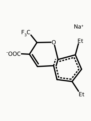 CCc1cc2c(c(CC)c1)OC(C(F)(F)F)C(C(=O)[O-])=C2.[Na+]